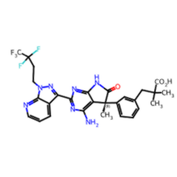 CC(C)(Cc1cccc([C@@]2(C)C(=O)Nc3nc(-c4nn(CCC(F)(F)C(F)(F)F)c5ncccc45)nc(N)c32)c1)C(=O)O